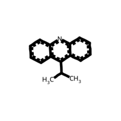 CC(C)c1c2ccccc2nc2ccccc12